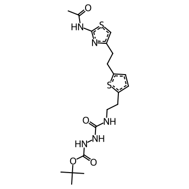 CC(=O)Nc1nc(CCc2ccc(CCNC(=O)NNC(=O)OC(C)(C)C)s2)cs1